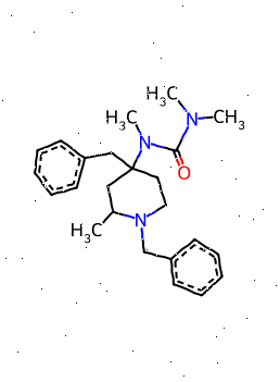 CC1CC(Cc2ccccc2)(N(C)C(=O)N(C)C)CCN1Cc1ccccc1